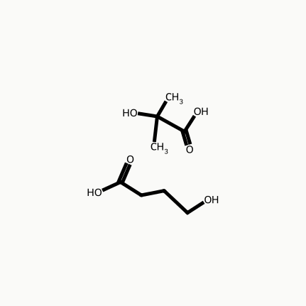 CC(C)(O)C(=O)O.O=C(O)CCCO